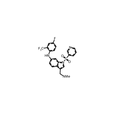 CNCc1cn(S(=O)(=O)c2cccnc2)c2cc(Nc3ccc(F)cc3C(F)(F)F)ccc12